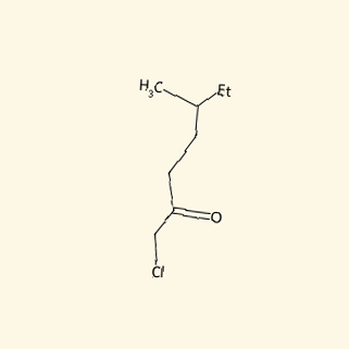 CCC(C)CCC(=O)CCl